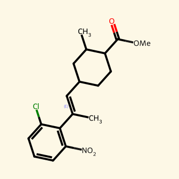 COC(=O)C1CCC(/C=C(\C)c2c(Cl)cccc2[N+](=O)[O-])CC1C